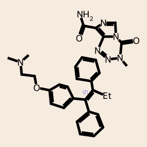 CC/C(=C(\c1ccccc1)c1ccc(OCCN(C)C)cc1)c1ccccc1.Cn1nnc2c(C(N)=O)ncn2c1=O